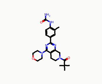 Cc1cc(-c2nc3c(c(N4CCOCC4)n2)CCN(C(=O)C(C)(C)C)C3)ccc1NC(N)=O